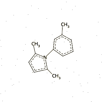 Cc1cccc(-n2c(C)[c]cc2C)c1